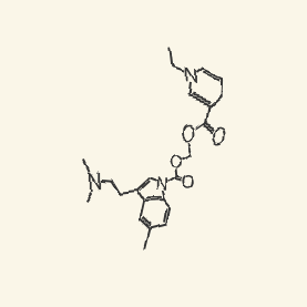 CCN1C=CCC(C(=O)OCOC(=O)n2cc(CCN(C)C)c3cc(C)ccc32)=C1